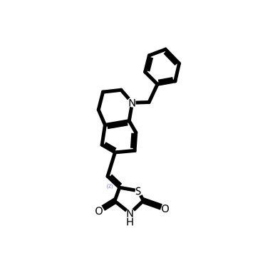 O=C1NC(=O)/C(=C/c2ccc3c(c2)CCCN3Cc2ccccc2)S1